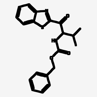 CC(C)C(NC(=O)OCc1ccccc1)C(=O)c1nc2ccccc2s1